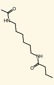 CCCC(=O)NCCCCCCNC(C)=O